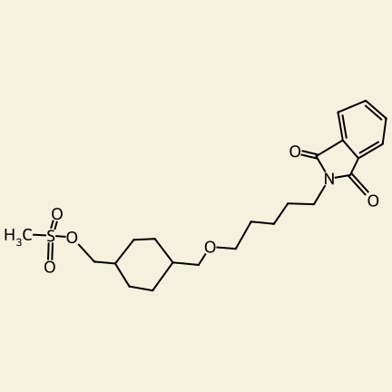 CS(=O)(=O)OCC1CCC(COCCCCCN2C(=O)c3ccccc3C2=O)CC1